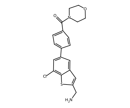 NCc1cc2cc(-c3ccc(C(=O)N4CCOCC4)cc3)cc(Cl)c2s1